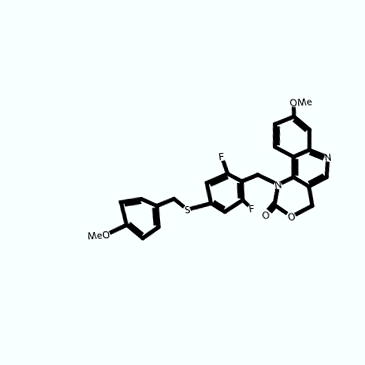 COc1ccc(CSc2cc(F)c(CN3C(=O)OCc4cnc5cc(OC)ccc5c43)c(F)c2)cc1